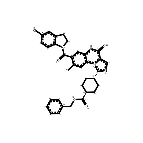 Cc1cc2c(cc1C(=O)N1CCc3cc(Cl)ccc31)[nH]c(=O)c1cnc([C@H]3CC[C@H](C(=O)OCc4ccccc4)CC3)n12